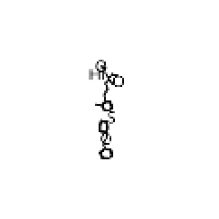 CCC(C=O)(CCCc1ccc(Sc2cccc(OCc3ccccc3)c2)cc1C)NC=O